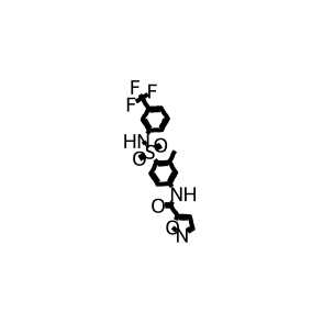 Cc1cc(NC(=O)c2ccno2)ccc1S(=O)(=O)Nc1cccc(C(F)(F)F)c1